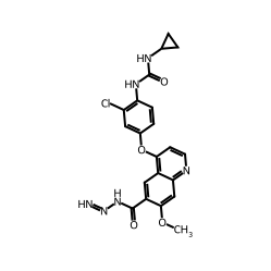 COc1cc2nccc(Oc3ccc(NC(=O)NC4CC4)c(Cl)c3)c2cc1C(=O)NN=N